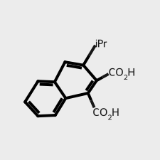 CC(C)c1cc2ccccc2c(C(=O)O)c1C(=O)O